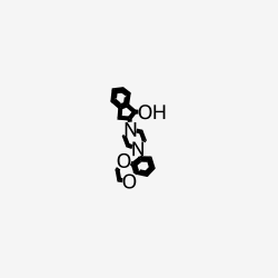 OC1c2ccccc2CC1N1CCN(c2cccc3c2OCCO3)CC1